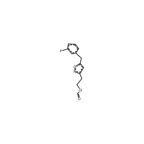 O=COCCc1cc(Cc2cccc(F)c2)on1